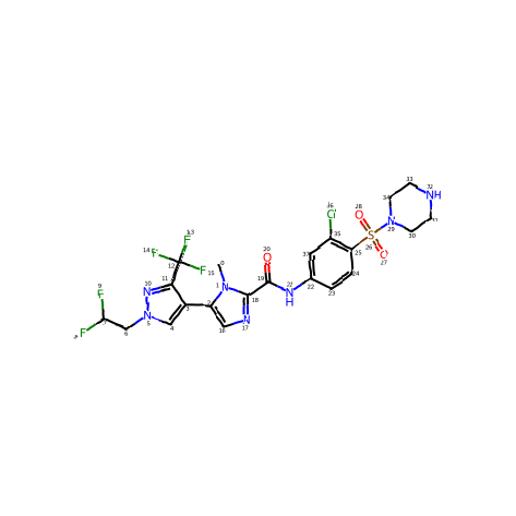 Cn1c(-c2cn(CC(F)F)nc2C(F)(F)F)cnc1C(=O)Nc1ccc(S(=O)(=O)N2CCNCC2)c(Cl)c1